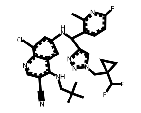 Cc1nc(F)ccc1C(Nc1cc(Cl)c2ncc(C#N)c(NCC(C)(C)C)c2c1)c1cn(CC2(C(F)F)CC2)nn1